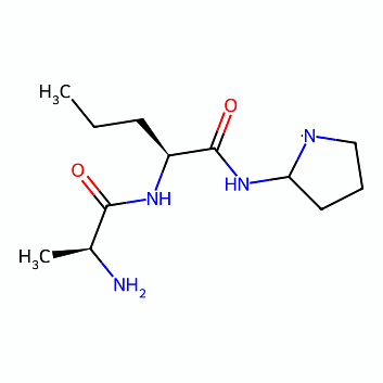 CCC[C@H](NC(=O)[C@H](C)N)C(=O)NC1CCC[N]1